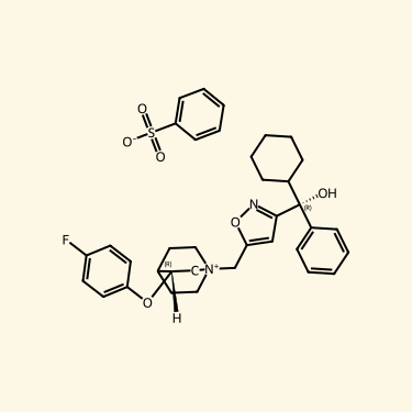 O=S(=O)([O-])c1ccccc1.O[C@](c1ccccc1)(c1cc(C[N+]23CCC(CC2)[C@@H](Oc2ccc(F)cc2)C3)on1)C1CCCCC1